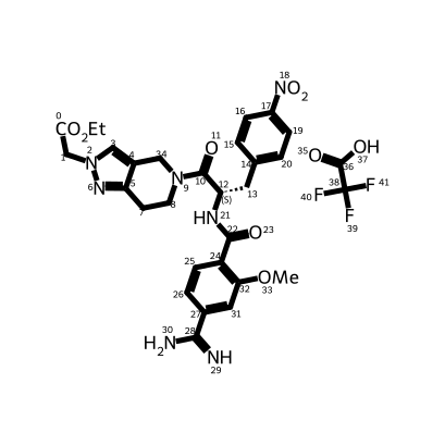 CCOC(=O)Cn1cc2c(n1)CCN(C(=O)[C@H](Cc1ccc([N+](=O)[O-])cc1)NC(=O)c1ccc(C(=N)N)cc1OC)C2.O=C(O)C(F)(F)F